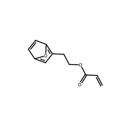 C=CC(=O)OCCc1cc2ccc1o2